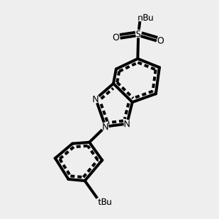 CCCCS(=O)(=O)c1ccc2nn(-c3cccc(C(C)(C)C)c3)nc2c1